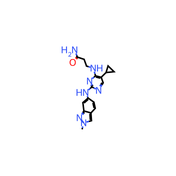 Cn1cc2ccc(Nc3ncc(C4CC4)c(NCCC(N)=O)n3)cc2n1